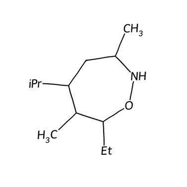 CCC1ONC(C)CC(C(C)C)C1C